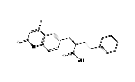 Cc1cc(=O)oc2ccc(CC(CCC3=CCCCC3)C(=O)O)cc12